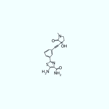 CN1CC[C@@](O)(C#Cc2cccc(-c3nc(C(N)=O)c(N)s3)c2)C1=O